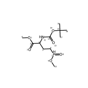 COC(=O)C(CC[PH](=O)OC)NC(=O)OC(C)(C)C